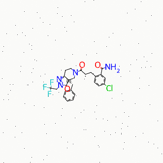 NC(=O)c1cc(Cl)ccc1C[CH]C(=O)N1CCC2=NN(CC(F)(F)F)C(=O)[C@]2(Cc2ccccc2)C1